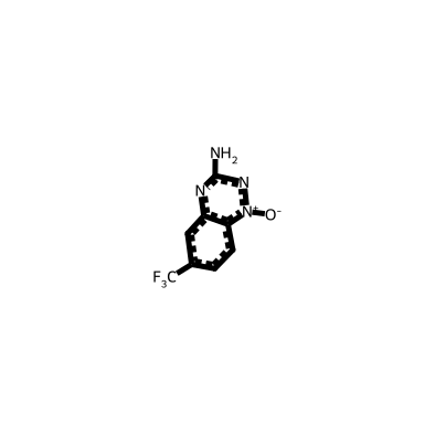 Nc1nc2cc(C(F)(F)F)ccc2[n+]([O-])n1